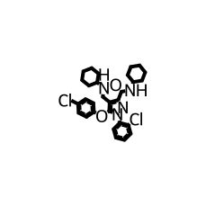 O=C(NC1CCCCC1)c1nn(-c2ccccc2Cl)c(Oc2ccc(Cl)cc2)c1CNC1CCCCC1